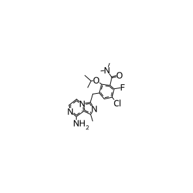 Cc1nc(Cc2cc(Cl)c(F)c(C(=O)N(C)C)c2OC(C)C)n2ccnc(N)c12